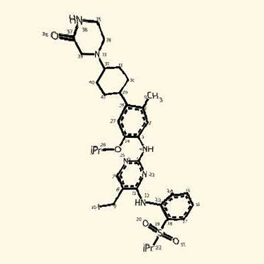 Cc1cc(Nc2ncc(CI)c(Nc3ccccc3S(=O)(=O)C(C)C)n2)c(OC(C)C)cc1C1CCC(N2CCNC(=O)C2)CC1